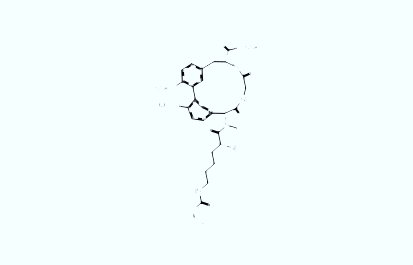 COC(=O)[C@@H]1Cc2ccc(OC)c(c2)-c2cc(ccc2OC)[C@H](N(C)C(=O)[C@@H](N)CCCCNC(=O)OC(C)(C)C)C(=O)N[C@@H](C)C(=O)N1